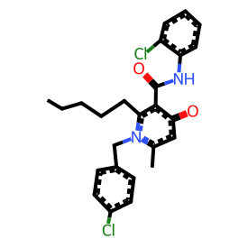 CCCCCc1c(C(=O)Nc2ccccc2Cl)c(=O)cc(C)n1Cc1ccc(Cl)cc1